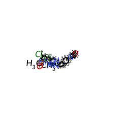 CP(C)(=O)c1cc(Cl)ccc1Nc1nc(Nc2ccc3c(c2)CC[C@H](N2C4COCC2C4)CC3)ncc1Cl